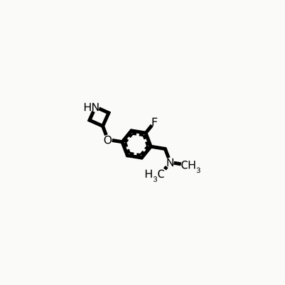 CN(C)Cc1ccc(OC2CNC2)cc1F